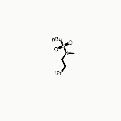 CCCCS(=O)(=O)N(C)CCC(C)C